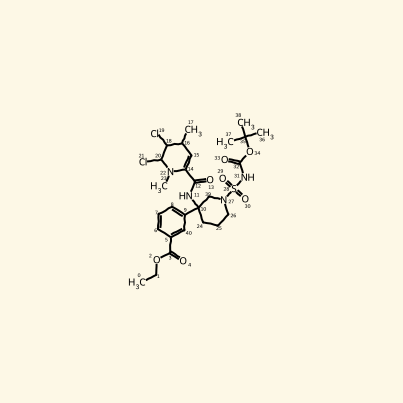 CCOC(=O)c1cccc(C2(NC(=O)C3=CC(C)C(Cl)C(Cl)N3C)CCCN(S(=O)(=O)NC(=O)OC(C)(C)C)C2)c1